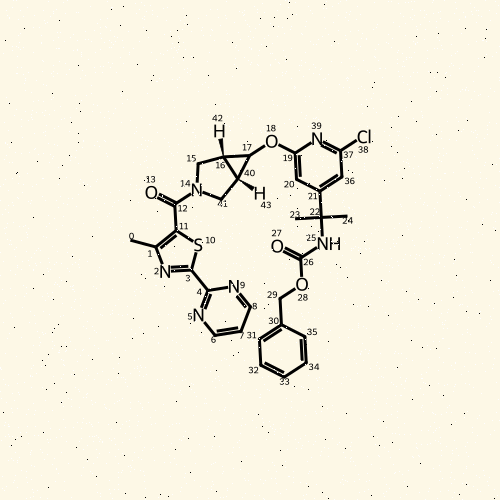 Cc1nc(-c2ncccn2)sc1C(=O)N1C[C@@H]2C(Oc3cc(C(C)(C)NC(=O)OCc4ccccc4)cc(Cl)n3)[C@@H]2C1